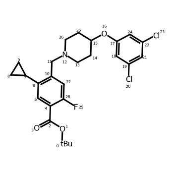 CC(C)(C)OC(=O)c1cc(C2CC2)c(CN2CCC(Oc3cc(Cl)cc(Cl)c3)CC2)cc1F